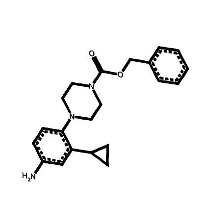 Nc1ccc(N2CCN(C(=O)OCc3ccccc3)CC2)c(C2CC2)c1